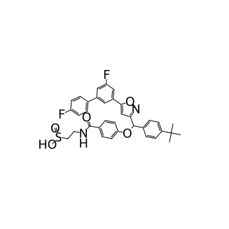 CC(C)(C)c1ccc(C(Oc2ccc(C(=O)NCCS(=O)O)cc2)c2cc(-c3cc(F)cc(-c4ccc(F)cc4)c3)on2)cc1